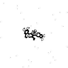 CCC1CN2CCc3cc(OC)c(OC)cc3C2CC1C1Cc2cc(OC)c(OC)cc2CCN1S(C)(=O)=O